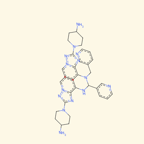 NC1CCN(c2nc3c(NC(c4cccnc4)N(Cc4cccnc4)c4cccn5nc(N6CCC(N)CC6)nc45)cccn3n2)CC1